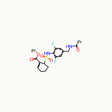 CC(C)OC(=O)C1=CCCCC1S(=O)(=O)Nc1c(F)cc(CNC(=O)C(C)C)cc1F